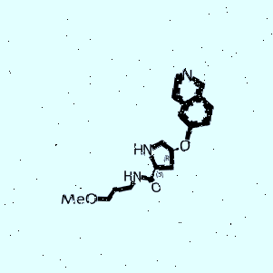 COCCCNC(=O)[C@@H]1C[C@@H](Oc2ccc3cnccc3c2)CN1